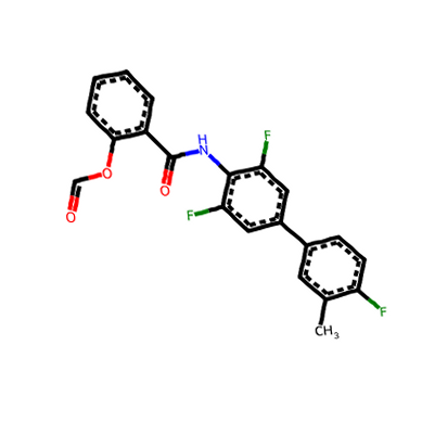 Cc1cc(-c2cc(F)c(NC(=O)c3ccccc3OC=O)c(F)c2)ccc1F